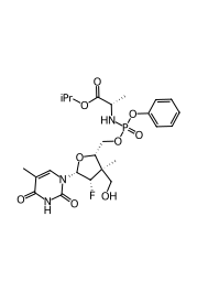 Cc1cn([C@@H]2O[C@H](COP(=O)(N[C@@H](C)C(=O)OC(C)C)Oc3ccccc3)[C@@](C)(CO)[C@@H]2F)c(=O)[nH]c1=O